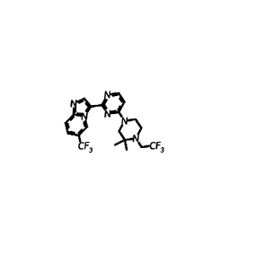 CC1(C)CN(c2ccnc(-c3cnc4ccc(C(F)(F)F)cn34)n2)CCN1CC(F)(F)F